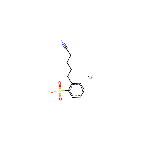 N#CCCCCc1ccccc1S(=O)(=O)O.[Na]